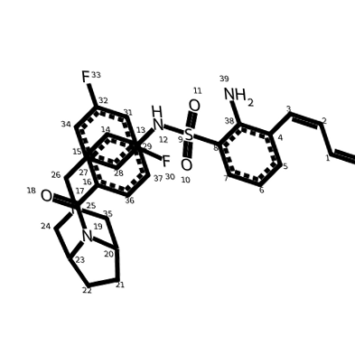 C=C/C=C\c1cccc(S(=O)(=O)Nc2ccc(C(=O)N3C4CCC3CN(Cc3cc(F)cc(F)c3)C4)cc2)c1N